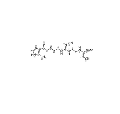 CNC(=NC#N)NCCNC(=NC#N)NCCSCC(=O)c1nc[nH]c1C